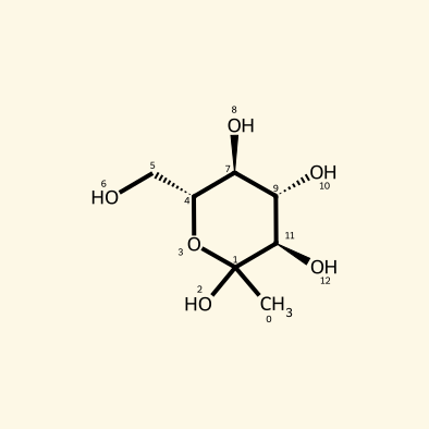 CC1(O)O[C@H](CO)[C@@H](O)[C@H](O)[C@H]1O